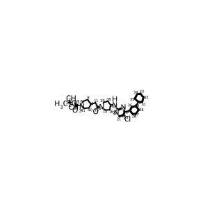 CC(C)(C)OC(=O)N1CCC(CC(=O)N2CCC(Nc3ncc(Cl)c(-c4cccc(-c5ccccc5)c4)n3)CC2)CC1